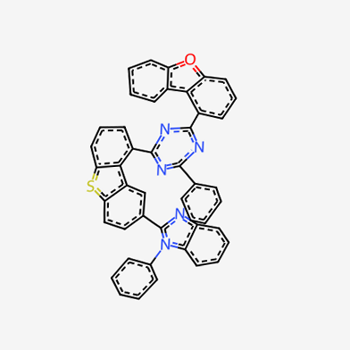 c1ccc(-c2nc(-c3cccc4oc5ccccc5c34)nc(-c3cccc4sc5ccc(-c6nc7ccccc7n6-c6ccccc6)cc5c34)n2)cc1